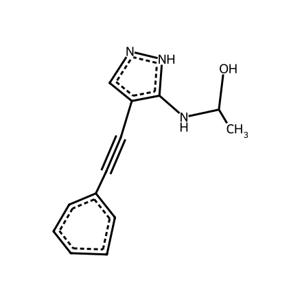 CC(O)Nc1[nH]ncc1C#Cc1ccccc1